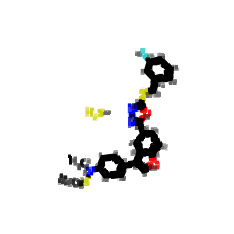 COSN(C)c1ccc(-c2coc3ccc(-c4nnc(SCc5cccc(F)c5)o4)cc23)cc1.S